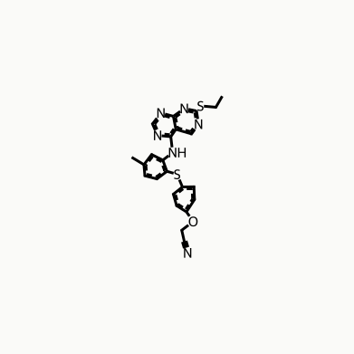 CCSc1ncc2c(Nc3cc(C)ccc3Sc3ccc(OCC#N)cc3)ncnc2n1